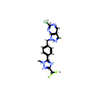 Cn1nc(C(F)F)nc1-c1ccc(Cn2ncc3cnc(Cl)nc32)cc1